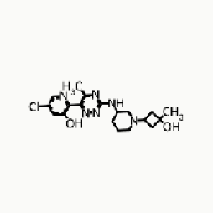 Cc1nc(NC2CCCN(C3CC(C)(O)C3)C2)nnc1-c1ncc(Cl)cc1O